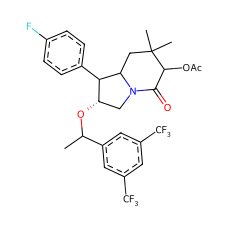 CC(=O)OC1C(=O)N2C[C@H](OC(C)c3cc(C(F)(F)F)cc(C(F)(F)F)c3)C(c3ccc(F)cc3)C2CC1(C)C